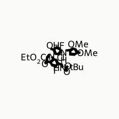 CCOC(=O)c1cn(-c2cc(NCc3ccc(OC)cc3OC)c(F)cc2CO)c2c(Cl)c(CNC(=O)OC(C)(C)C)c(F)cc2c1=O